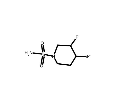 CC(C)C1CCN(S(N)(=O)=O)CC1F